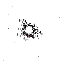 CCCC[C@@H](C)CC1NC(=O)C(CCC#N)OC(=O)[C@H](C)N(C)C(=O)C(C[C@H](C)CCCC)NC(=O)C(CC2CCCC2)N(C)C(=O)C(CC(C)C)NC(=O)C(CC(C)C)N(C)C1=O